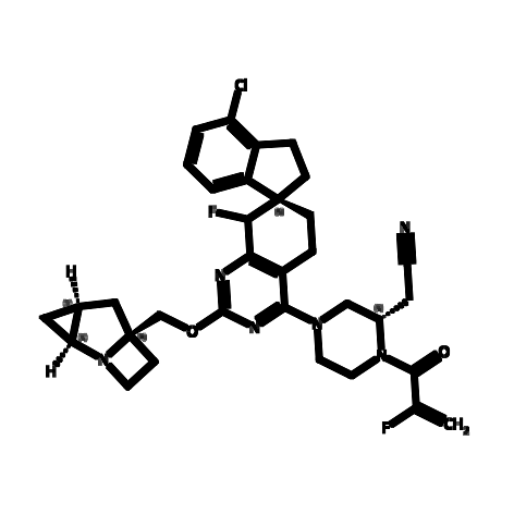 C=C(F)C(=O)N1CCN(c2nc(OC[C@@]34CCN3[C@H]3C[C@H]3C4)nc3c2CC[C@@]2(CCc4c(Cl)cccc42)C3F)C[C@@H]1CC#N